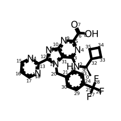 C[C@@H](Nc1nc(C(=O)O)nc2nc(-c3ncccn3)n(Cc3ccc(C(F)(F)F)cc3)c12)C1CCC1